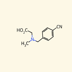 CN(CC(=O)O)Cc1ccc(C#N)cc1